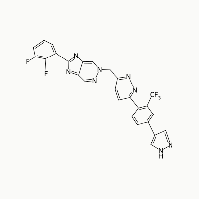 Fc1cccc(-c2nc3cnn(Cc4ccc(-c5ccc(-c6cn[nH]c6)cc5C(F)(F)F)nn4)cc-3n2)c1F